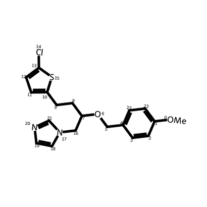 COc1ccc(COC(CCc2ccc(Cl)s2)Cn2ccnc2)cc1